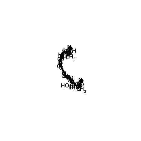 CC1(C)SCN(S(=O)(=O)c2cccnc2)[C@@H]1C(=O)N[C@@H](Cc1ccc(OC(=O)N2CCN(C(=O)COCCCOCC(=O)N3CCN(C(=O)Oc4ccc(C[C@H](NC(=O)[C@H]5N(S(=O)(=O)c6cccnc6)CSC5(C)C)C(=O)O)cc4)CC3)CC2)cc1)C(=O)O